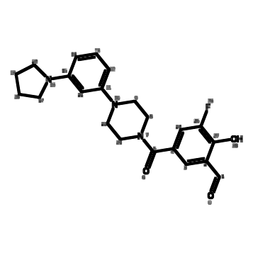 O=Cc1cc(C(=O)N2CCN(c3cccc(N4CCCC4)c3)CC2)cc(F)c1O